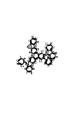 c1ccc(-n2c3ccccc3c3cc(-c4cc(-c5ccccn5)c(-n5c6ccccc6c6ccccc65)cc4-c4ccc5oc6ccccc6c5c4)ccc32)cc1